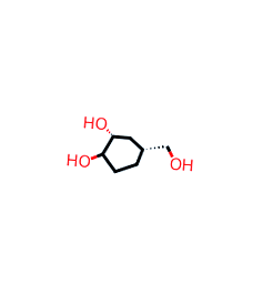 OC[C@@H]1CCC(O)[C@H](O)C1